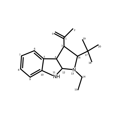 C=C(C)C1C2c3ccccc3NC2N(CC)C1C(C)(C)C